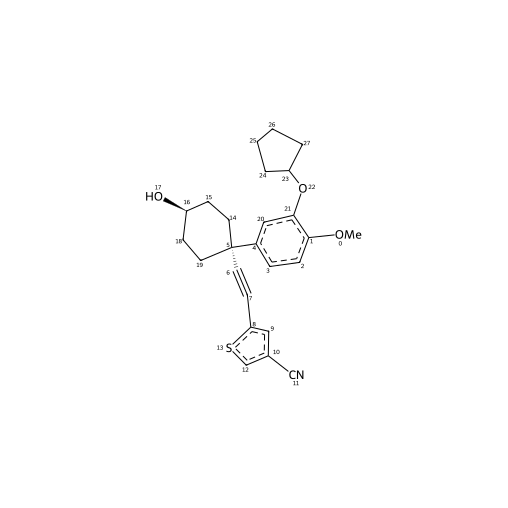 COc1ccc([C@]2(C#Cc3cc(C#N)cs3)CC[C@H](O)CC2)cc1OC1CCCC1